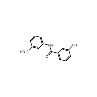 O=C(O)c1cccc(NC(=O)c2cccc(O)c2)c1